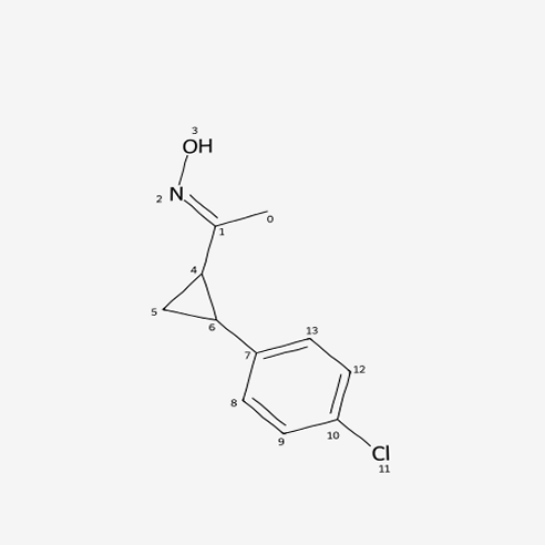 CC(=NO)C1CC1c1ccc(Cl)cc1